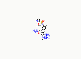 CC[C@@H]1CN(Cc2cc(C(CC(N)=O)c3ccc(N(N)CC)c(N)c3C)ccc2C)[S+]([O-])c2cccnc2O1